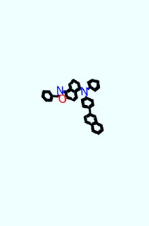 c1ccc(-c2nc3c(ccc4c(N(c5ccccc5)c5ccc(-c6ccc7ccccc7c6)cc5)cccc43)o2)cc1